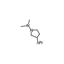 CCCC1CCN(N(C)C)C1